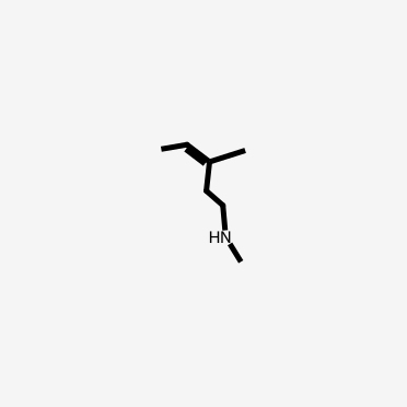 C/C=C(/C)CCNC